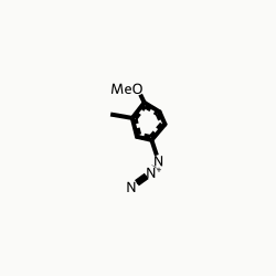 COc1ccc(N=[N+]=[N-])cc1C